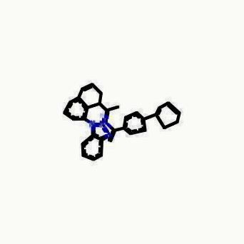 C=C(/N=C(\C)C1CC=Cc2cccc(-n3nnc4ccccc43)c21)c1ccc(C2=CC=CCC2)cc1